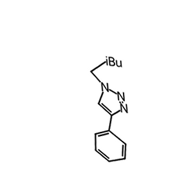 CCC(C)Cn1cc(-c2ccccc2)nn1